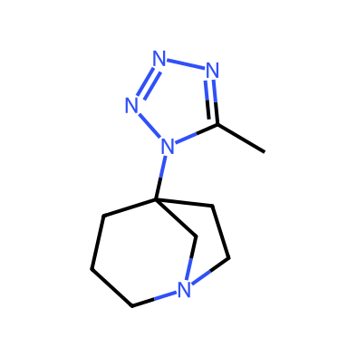 Cc1nnnn1C12CCCN(CC1)C2